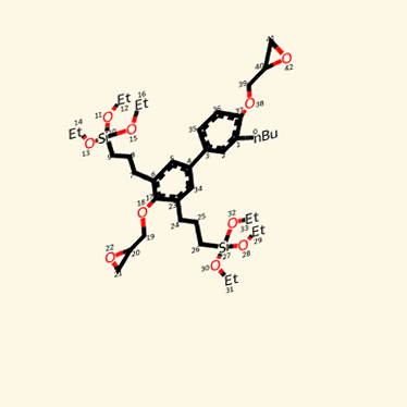 CCCCc1cc(-c2cc(CCC[Si](OCC)(OCC)OCC)c(OCC3CO3)c(CCC[Si](OCC)(OCC)OCC)c2)ccc1OCC1CO1